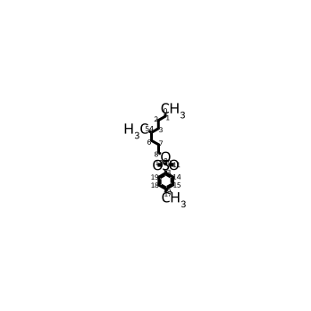 CCCCC(C)CCCOS(=O)(=O)c1ccc(C)cc1